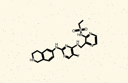 CCS(=O)(=O)Nc1nccnc1CNc1nc(Nc2ccc3c(c2)CCNC3)ncc1F